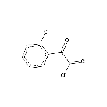 O=C(Cl)C(=O)c1ccccc1Cl